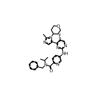 Cc1ncc(-c2nc(Nc3ccc(C(=O)N(Cc4ccccc4)C(C)C)nc3)ncc2F)n1C1CCOCC1